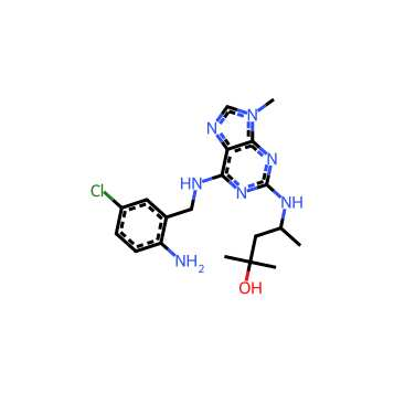 CC(CC(C)(C)O)Nc1nc(NCc2cc(Cl)ccc2N)c2ncn(C)c2n1